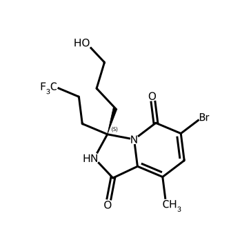 Cc1cc(Br)c(=O)n2c1C(=O)N[C@]2(CCCO)CCC(F)(F)F